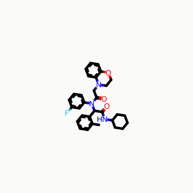 Cc1ccccc1C(C(=O)NC1CCCCC1)N(C(=O)CN1CCOc2ccccc21)c1cccc(F)c1